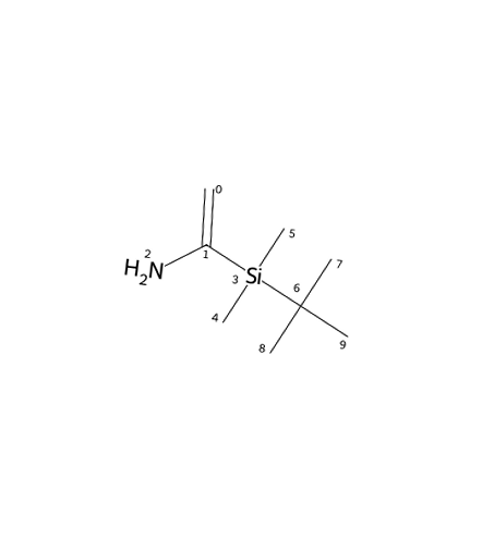 C=C(N)[Si](C)(C)C(C)(C)C